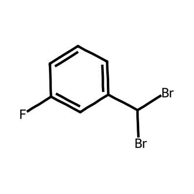 Fc1cccc(C(Br)Br)c1